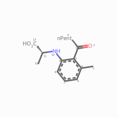 CCCCCC(=O)c1c(C)cccc1N[C@@H](C)C(=O)O